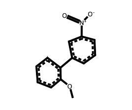 COc1ccc[c]c1-c1cccc([N+](=O)[O-])c1